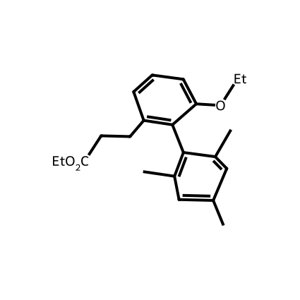 CCOC(=O)CCc1cccc(OCC)c1-c1c(C)cc(C)cc1C